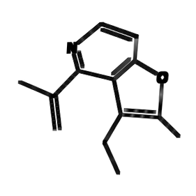 C=C(C)c1nccc2oc(C)c(CC)c12